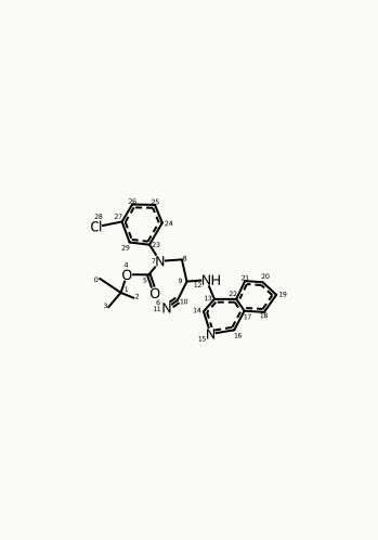 CC(C)(C)OC(=O)N(CC(C#N)Nc1cncc2ccccc12)c1cccc(Cl)c1